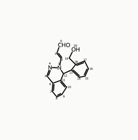 O=C/C=C/N1N=Cc2ccccc2C1c1ccccc1CO